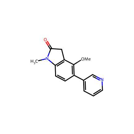 COc1c(-c2cccnc2)ccc2c1CC(=O)N2C